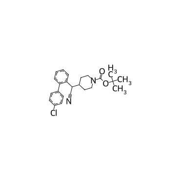 CC(C)(C)OC(=O)N1CCC(C(C#N)c2ccccc2-c2ccc(Cl)cc2)CC1